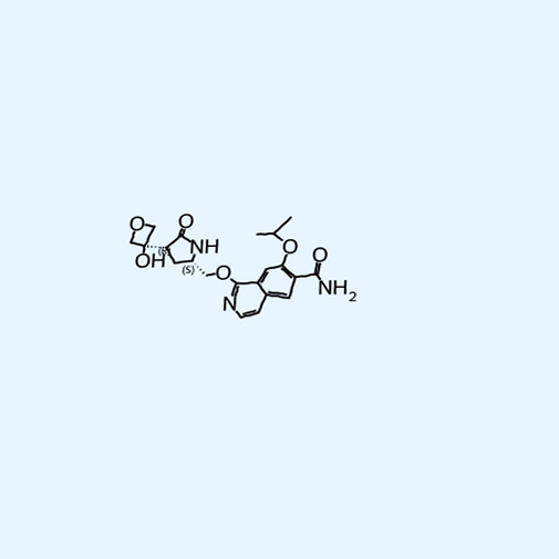 CC(C)Oc1cc2c(OC[C@@H]3C[C@H](C4(O)COC4)C(=O)N3)nccc2cc1C(N)=O